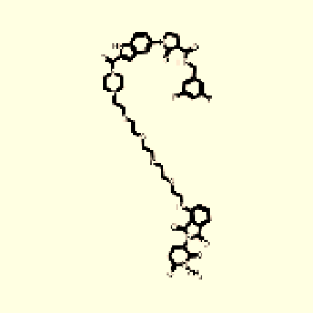 CN1C(=O)CCC(N2C(=O)c3cccc(NCCOCCOCCOCCOCCN4CCN(C(=O)c5cc6cc(N7CCC(C(=O)NCc8cc(F)cc(F)c8)C7=O)ccc6[nH]5)CC4)c3C2=O)C1=O